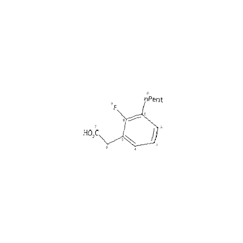 CCCCCc1cccc(CC(=O)O)c1F